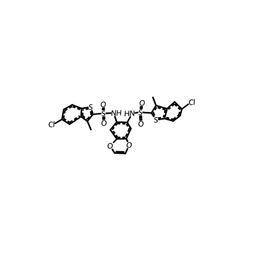 Cc1c(S(=O)(=O)Nc2cc3c(cc2NS(=O)(=O)c2sc4ccc(Cl)cc4c2C)OC=CO3)sc2ccc(Cl)cc12